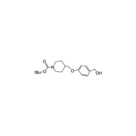 CC(C)(C)OC(=O)N1CCC(COc2ccc(CO)cc2)CC1